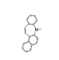 CN1c2ccccc2C=Cc2c1ccc1ccccc21